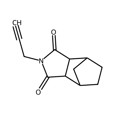 C#CCN1C(=O)C2C3CCC(C3)C2C1=O